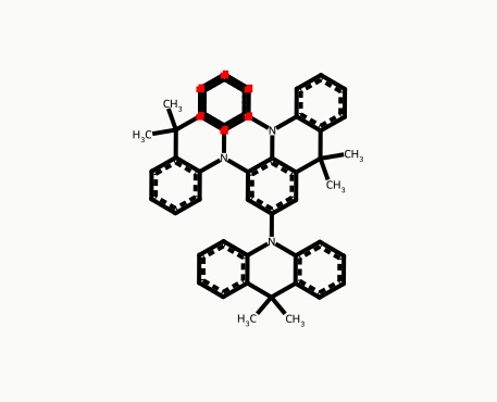 CC1(C)c2ccccc2N(c2cc(N3c4ccccc4C(C)(C)c4ccccc43)c3c(c2)C(C)(C)c2ccccc2N3c2ccccc2)c2ccccc21